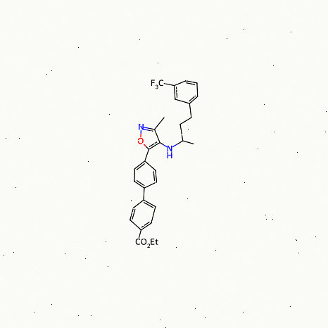 CCOC(=O)c1ccc(-c2ccc(-c3onc(C)c3NC(C)CCc3cccc(C(F)(F)F)c3)cc2)cc1